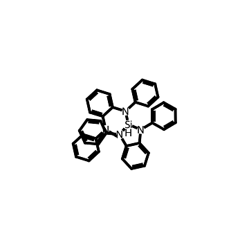 CN(c1ccccc1)c1ccccc1N(c1ccccc1)[SiH]1N(c2ccccc2)c2ccccc2N1c1ccccc1